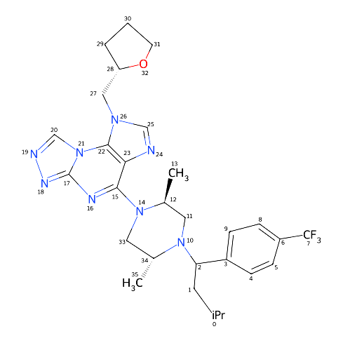 CC(C)CC(c1ccc(C(F)(F)F)cc1)N1C[C@H](C)N(c2nc3nncn3c3c2ncn3C[C@@H]2CCCO2)C[C@H]1C